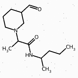 CCCC(C)NC(=O)C(C)N1CCCC(C=O)C1